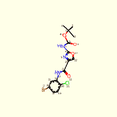 CC(C)(C)OC(=O)Nc1nc(C(=O)Nc2cc(Br)ccc2Cl)co1